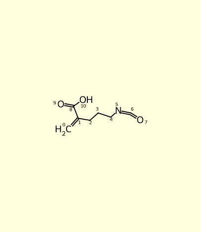 C=C(CCCN=C=O)C(=O)O